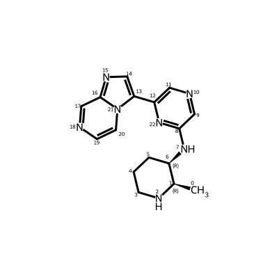 C[C@H]1NCCC[C@H]1Nc1cncc(-c2cnc3cnccn23)n1